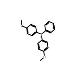 COc1ccc(B(c2ccccc2)c2ccc(OC)cc2)cc1